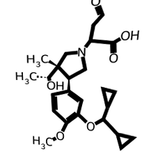 COc1ccc([C@@H]2CN(C(CC=O)C(=O)O)C[C@@]2(C)[C@@H](C)O)cc1OC(C1CC1)C1CC1